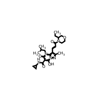 CCC1COCCN1C(=O)C=Cc1c(C)nn2c(O)c(C(=O)NC3CC3)c(=O)n(CC(C)C)c12